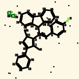 CC1=[C](/[Zr+2](=[CH]/c2ccc(F)cc2)[CH]2c3ccccc3-c3ccccc32)C(C)C=C1c1ccccc1.[Cl-].[Cl-]